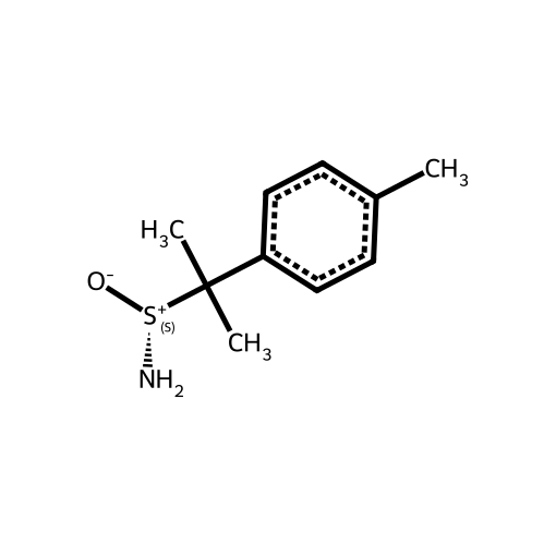 Cc1ccc(C(C)(C)[S@+](N)[O-])cc1